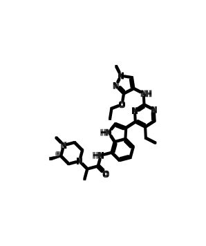 CCOc1nn(C)cc1Nc1ncc(CC)c(-c2c[nH]c3c(NC(=O)C(C)N4CCN(C)[C@H](C)C4)cccc23)n1